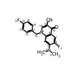 CN(C)c1cc2c(cc1F)c(=O)c(C#N)cn2Cc1ccc(F)cc1